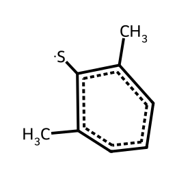 Cc1cccc(C)c1[S]